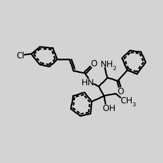 CCC(O)(c1ccccc1)C(NC(=O)C=Cc1ccc(Cl)cc1)C(N)C(=O)c1ccccc1